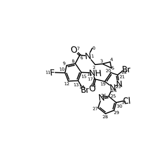 CN(CC1CC1)C(=O)c1cc(F)cc(Br)c1NC(=O)c1cc(Br)nn1-c1ncccc1Cl